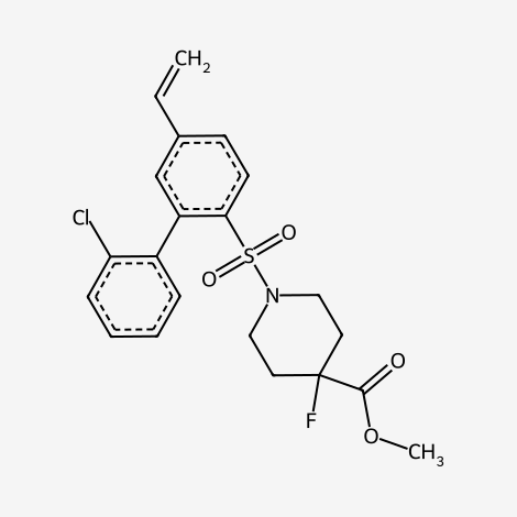 C=Cc1ccc(S(=O)(=O)N2CCC(F)(C(=O)OC)CC2)c(-c2ccccc2Cl)c1